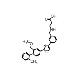 COCc1cc(-c2nc(-c3cccc(CNCCC(=O)O)c3)co2)ccc1-c1ccccc1C